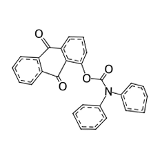 O=C1c2ccccc2C(=O)c2c(OC(=O)N(c3ccccc3)c3ccccc3)cccc21